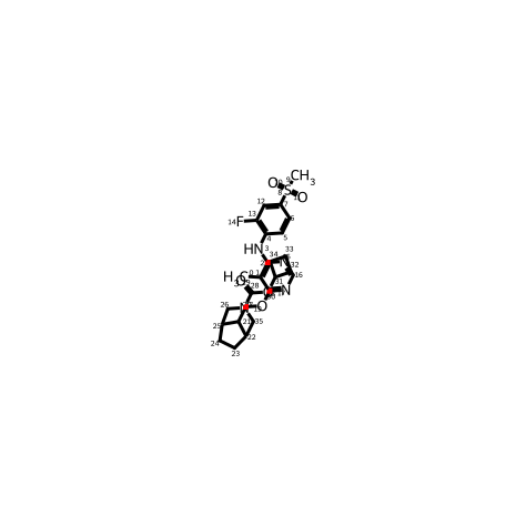 Cc1c(Nc2ccc(S(C)(=O)=O)cc2F)ncnc1OCC1C2CCC1CN(C(=O)OC1CCC1)C2